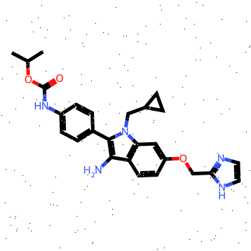 CC(C)OC(=O)Nc1ccc(-c2c(N)c3ccc(OCc4ncc[nH]4)cc3n2CC2CC2)cc1